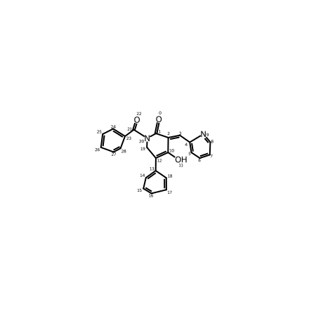 O=C1C(=Cc2ccccn2)C(O)=C(c2ccccc2)CN1C(=O)c1ccccc1